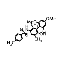 COc1cc(O)c(-c2c(C)c(NS(=O)(=O)c3ccc(C)cc3)cc(C)c2O)c(OC)c1